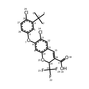 CC(C)(C)c1cc(Oc2cc3c(cc2Cl)C=C(C(=O)O)C(C(F)(F)F)O3)ccc1Cl